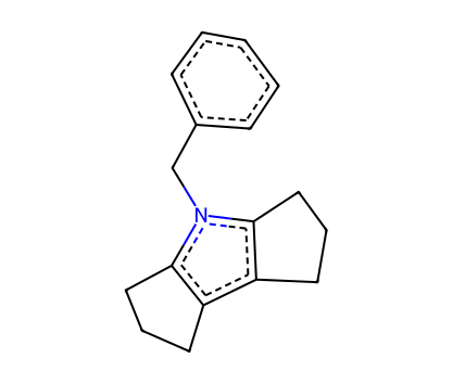 c1ccc(Cn2c3c(c4c2CCC4)CCC3)cc1